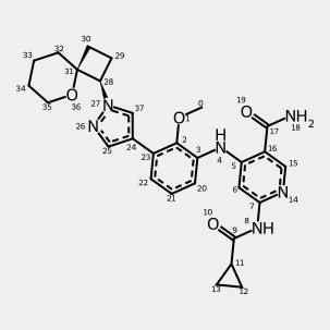 COc1c(Nc2cc(NC(=O)C3CC3)ncc2C(N)=O)cccc1-c1cnn([C@@H]2CC[C@@]23CCCCO3)c1